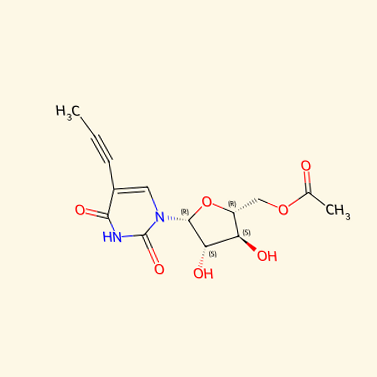 CC#Cc1cn([C@@H]2O[C@H](COC(C)=O)[C@@H](O)[C@@H]2O)c(=O)[nH]c1=O